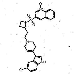 O=S(=O)(c1cc2ccccc2[n+]([O-])c1)N1CCC1CCN1CC=C(c2c[nH]c3ccc(Cl)cc23)CC1